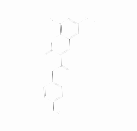 COc1ccc(CC(=O)c2cc3cc([N+](=O)[O-])cc([N+](=O)[O-])c3oc2=O)cc1